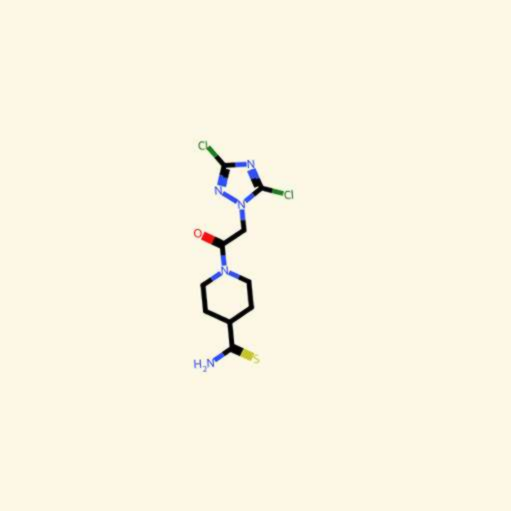 NC(=S)C1CCN(C(=O)Cn2nc(Cl)nc2Cl)CC1